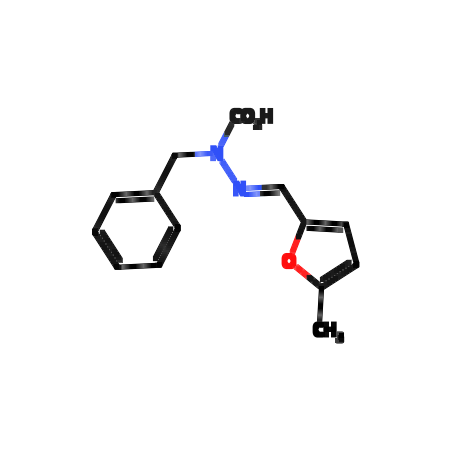 Cc1ccc(C=NN(Cc2ccccc2)C(=O)O)o1